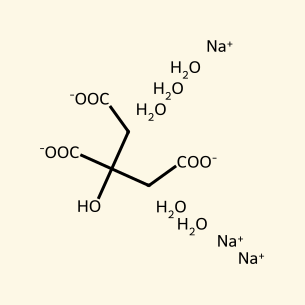 O.O.O.O.O.O=C([O-])CC(O)(CC(=O)[O-])C(=O)[O-].[Na+].[Na+].[Na+]